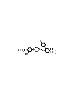 CC1(C)CCC(CCN2CCN(c3ccc(C(=O)O)c(Br)c3)CC2)=C(c2ccc(Cl)cc2)C1